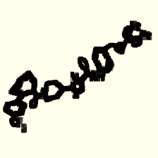 CCOP(OCC)OCc1ccc(NC(=O)c2csc(C3CCN(C(=O)c4ccccc4-c4ccc(C(F)(F)F)cc4)CC3)n2)cc1